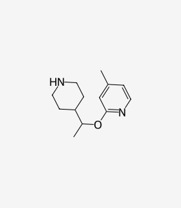 Cc1ccnc(OC(C)C2CCNCC2)c1